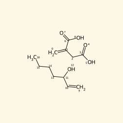 C=C(CC(=O)O)C(=O)O.C=CC(O)CCCC